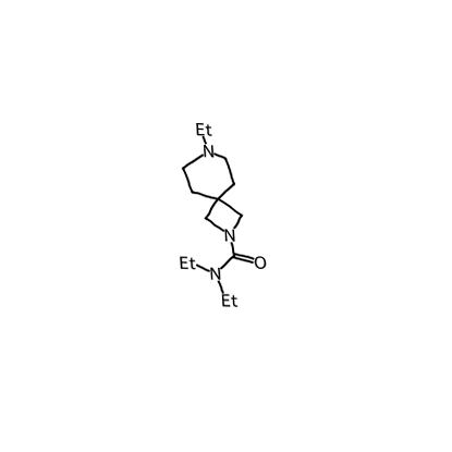 CCN1CCC2(CC1)CN(C(=O)N(CC)CC)C2